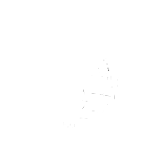 CC1C[C@@H](O)CC2CC[C@@H]3[C@H](CC[C@]4(C)C(=O)CC[C@@H]34)[C@@]12C